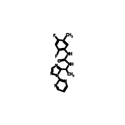 Cc1cc(NC(=O)NC(C)c2ncnn2-c2ncccn2)c(F)cc1F